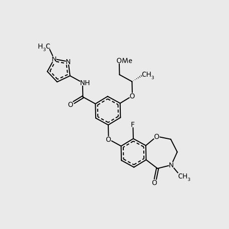 COC[C@H](C)Oc1cc(Oc2ccc3c(c2F)OCCN(C)C3=O)cc(C(=O)Nc2ccn(C)n2)c1